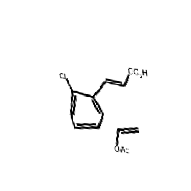 C=COC(C)=O.O=C(O)C=Cc1ccccc1Cl